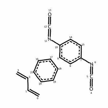 C=CC=C.O=C=Nc1ccc(N=C=O)cc1.c1ccccc1